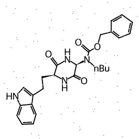 CCCCN(C(=O)OCc1ccccc1)[C@@H]1NC(=O)[C@H](CCc2c[nH]c3ccccc23)NC1=O